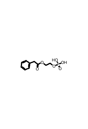 O=C(Cc1ccccc1)OCCOP(=O)(O)O